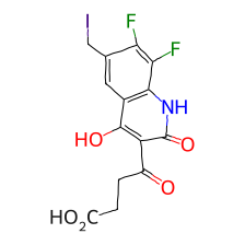 O=C(O)CCC(=O)c1c(O)c2cc(CI)c(F)c(F)c2[nH]c1=O